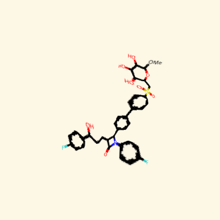 COC1OC(CS(=O)(=O)c2ccc(-c3ccc(C4C(CCC(O)c5ccc(F)cc5)C(=O)N4c4ccc(F)cc4)cc3)cc2)C(O)C(O)C1O